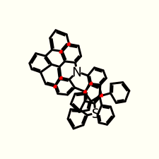 c1ccc(-c2cccc3cccc(-c4ccccc4N(c4ccccc4-c4cccc5sc6ccccc6c45)c4cccc5c4-c4ccccc4C5(c4ccccc4)c4ccccc4)c23)cc1